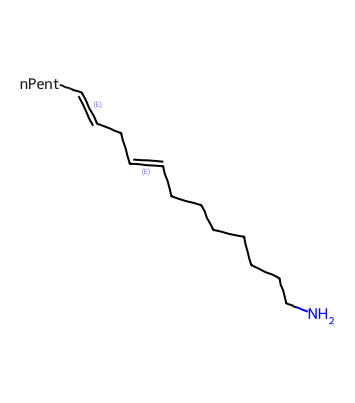 CCCCC/C=C/C/C=C/CCCCCCCN